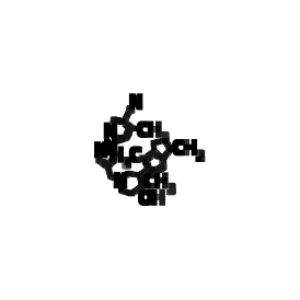 C=C1CCc2c1ccc(C1CN(Cc3cnn(-c4cc(C)c(C#N)cn4)c3)CCC1(C)O)c2C